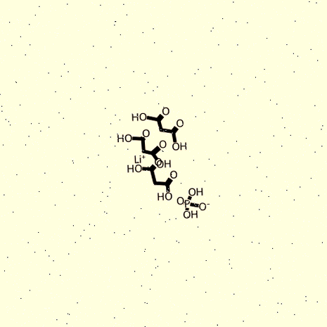 O=C(O)CC(=O)O.O=C(O)CC(=O)O.O=C(O)CC(=O)O.O=P([O-])(O)O.[Li+]